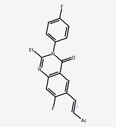 CCc1nc2cc(F)c(/C=C/C(C)=O)cc2c(=O)n1-c1ccc(F)cc1